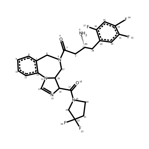 N[C@@H](CC(=O)N1Cc2ccccc2N2C=NC(C(=O)N3CCC(F)(F)C3)C2C1)Cc1cc(F)c(F)cc1F